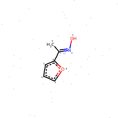 C/C(=N\O)c1ccco1